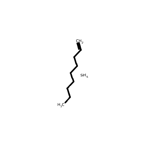 C=CCCCCCCC.[SiH4]